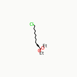 CCOC(C#CCCCCCCCCCl)OCC